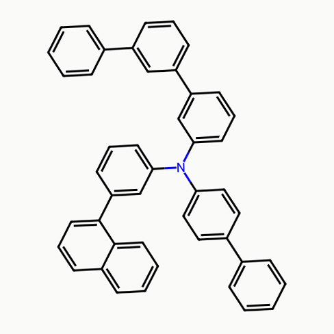 c1ccc(-c2ccc(N(c3cccc(-c4cccc(-c5ccccc5)c4)c3)c3cccc(-c4cccc5ccccc45)c3)cc2)cc1